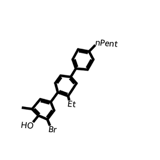 CCCCCc1ccc(-c2ccc(-c3cc(C)c(O)c(Br)c3)c(CC)c2)cc1